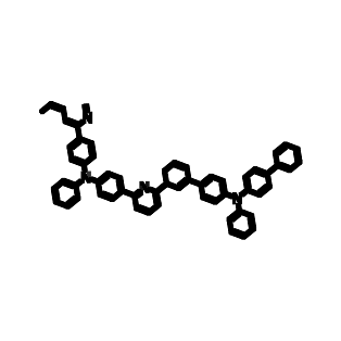 C=N/C(=C\C=C/C)c1ccc(N(c2ccccc2)c2ccc(-c3cccc(C4C=C(c5ccc(N(c6ccccc6)c6ccc(-c7ccccc7)cc6)cc5)C=CC4)n3)cc2)cc1